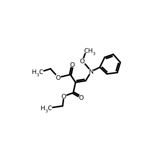 CCOC(=O)C(=CN(OC)c1ccccc1)C(=O)OCC